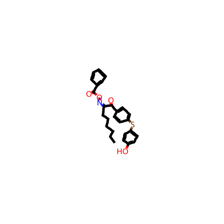 CCCCCC/C(=N/OC(=O)c1ccccc1)C(=O)c1ccc(Sc2ccc(O)cc2)cc1